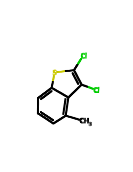 Cc1cccc2sc(Cl)c(Cl)c12